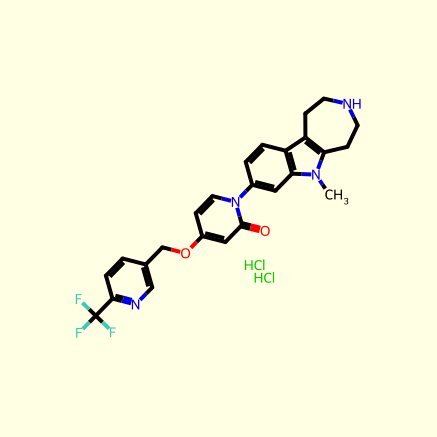 Cl.Cl.Cn1c2c(c3ccc(-n4ccc(OCc5ccc(C(F)(F)F)nc5)cc4=O)cc31)CCNCC2